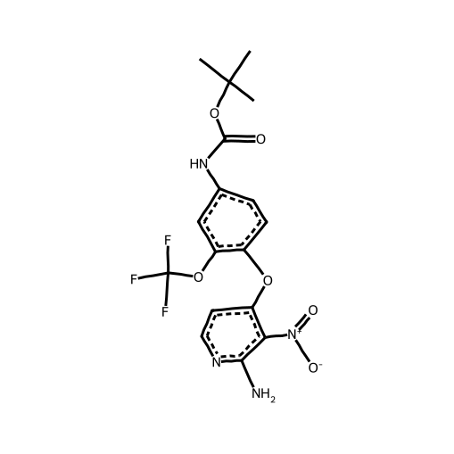 CC(C)(C)OC(=O)Nc1ccc(Oc2ccnc(N)c2[N+](=O)[O-])c(OC(F)(F)F)c1